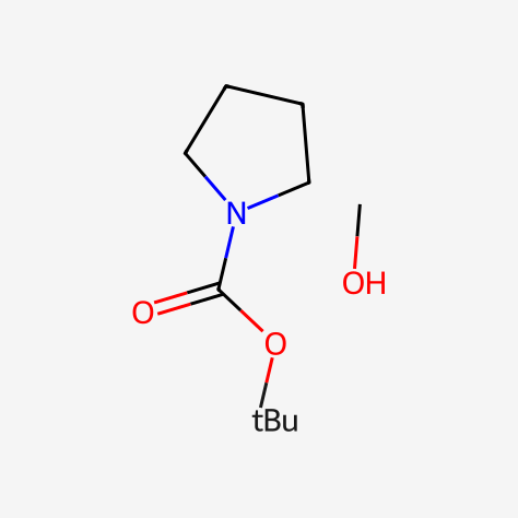 CC(C)(C)OC(=O)N1CCCC1.CO